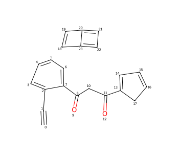 C#Cc1ccccc1C(=O)CC(=O)C1=CC=CC1.c1cc2ccc1-2